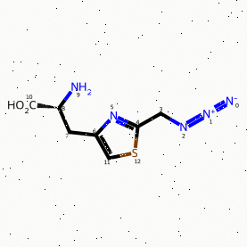 [N-]=[N+]=NCc1nc(C[C@H](N)C(=O)O)cs1